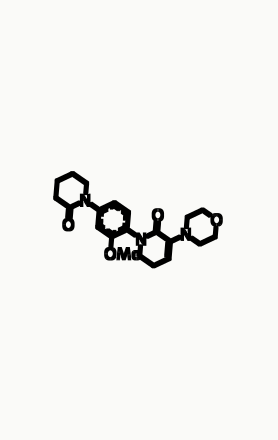 COc1cc(N2CCCCC2=O)ccc1N1CCC=C(N2CCOCC2)C1=O